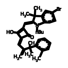 C=C(/C=C1\C(=O)C(/C=C2\N(CCCC)c3ccc(Br)cc3C2(C)C)=C1O)C(C)(C)c1ccccc1C